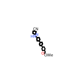 COC(=O)CC1CCC(c2ccc(-c3ccc(-c4nc5cc(C#N)ccc5[nH]4)cc3)cc2)CC1